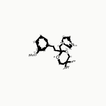 CCCC1(CCC)COC(CCc2cccc(OC)c2)(Cn2ccnc2)OC1